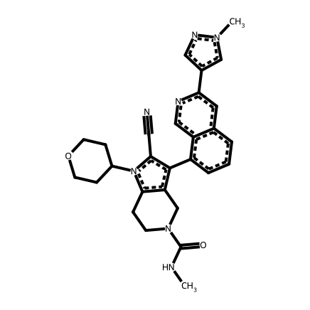 CNC(=O)N1CCc2c(c(-c3cccc4cc(-c5cnn(C)c5)ncc34)c(C#N)n2C2CCOCC2)C1